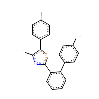 CCc1ccc(-c2sc(-c3ccccc3-c3ccc(C)cc3)nc2C)cc1